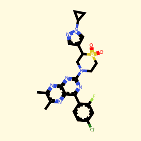 Cc1nc2nc(N3CCS(=O)(=O)C(c4cnn(C5CC5)c4)C3)nc(-c3ccc(Cl)cc3F)c2nc1C